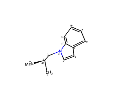 CN[C@H](C)Cn1ccc2ccccc21